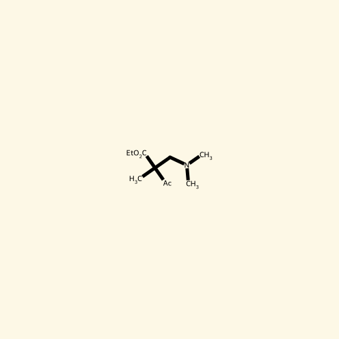 CCOC(=O)C(C)(CN(C)C)C(C)=O